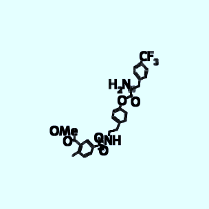 COC(=O)c1cc(S(=O)(=O)NCCc2ccc(OC(=O)[C@@H](N)Cc3ccc(C(F)(F)F)cc3)cc2)ccc1C